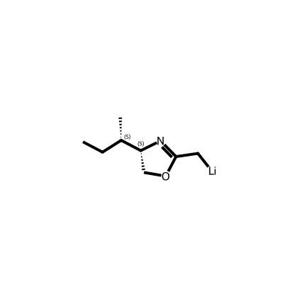 [Li][CH2]C1=N[C@@H]([C@@H](C)CC)CO1